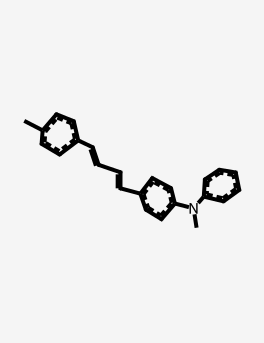 Cc1ccc(C=CC=Cc2ccc(N(C)c3ccccc3)cc2)cc1